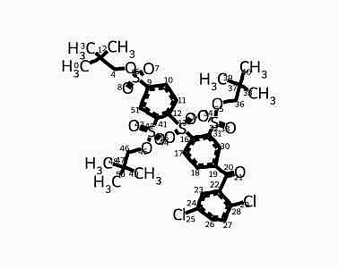 CC(C)(C)COS(=O)(=O)c1ccc(S(=O)(=O)c2ccc(C(=O)c3cc(Cl)ccc3Cl)cc2S(=O)(=O)OCC(C)(C)C)c(S(=O)(=O)OCC(C)(C)C)c1